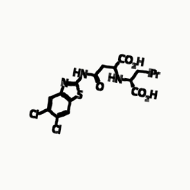 CC(C)C[C@H](NC(CC(=O)Nc1nc2cc(Cl)c(Cl)cc2s1)C(=O)O)C(=O)O